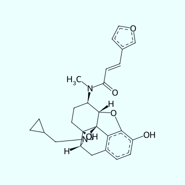 CN(C(=O)C=Cc1ccoc1)[C@@H]1CC[C@@]2(O)[C@H]3Cc4ccc(O)c5c4[C@@]2(CCN3CC2CC2)[C@H]1O5